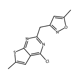 Cc1cc(Cc2nc(Cl)c3cc(C)sc3n2)no1